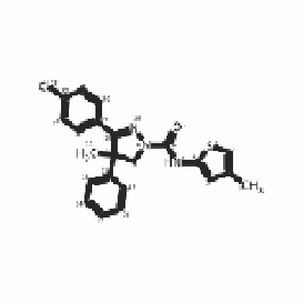 Cc1csc(NC(=O)N2CC(C)(c3ccccc3)C(c3ccc(Cl)cc3)=N2)c1